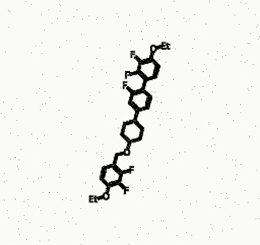 CCOc1ccc(COC2CCC(c3ccc(-c4ccc(OCC)c(F)c4F)c(F)c3)CC2)c(F)c1F